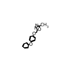 Cc1nnc(COc2ccc(Oc3ccccc3)cc2)o1